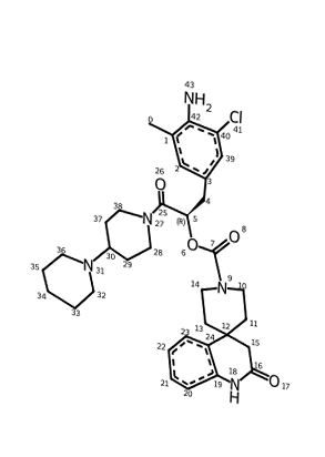 Cc1cc(C[C@@H](OC(=O)N2CCC3(CC2)CC(=O)Nc2ccccc23)C(=O)N2CCC(N3CCCCC3)CC2)cc(Cl)c1N